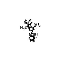 C=Cc1sc(CN(CCCN)c2nc3nnccc3[nH]2)c(C)c1Br